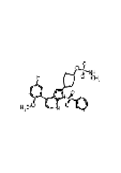 CNS(=O)(=O)OC1CC=C(c2cc3c(-c4cc(F)ccc4OC)ccnc3n2S(=O)(=O)c2ccccc2)CC1